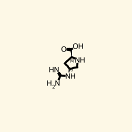 N=C(N)N[C@H]1CN[C@H](C(=O)O)C1